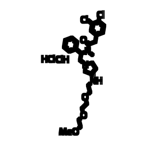 COCCOCCOCCN[C@H]1CCN(CC(c2ccccc2)N(C)C(=O)Cc2ccc(Cl)c(Cl)c2)C1.Cl.Cl